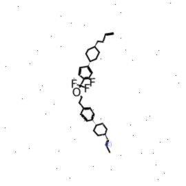 C=CCC[C@H]1CC[C@H](c2ccc(C(F)(F)OCCc3ccc([C@H]4CC[C@H](/C=C/C)CC4)cc3)c(F)c2)CC1